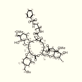 CO/N=C1\C[C@@H](C)O[C@@H](O[C@@H]2[C@@H](C)[C@H](O[C@H]3C[C@@H](C)N(CC(C)(C)C)C[C@H](C)O3)[C@@H](C)C(=O)O[C@H]([C@@H](C)CO[C@@H]3O[C@H](C)[C@@H](O)[C@@H](OC)[C@H]3OC)[C@H](C)[C@@H](OC(=O)CC(C)C)[C@@H](C)C(=O)[C@@](C)(OC(=O)NC(C)(C)CNS(=O)(=O)c3ccccc3)C[C@@H]2C)[C@@H]1O